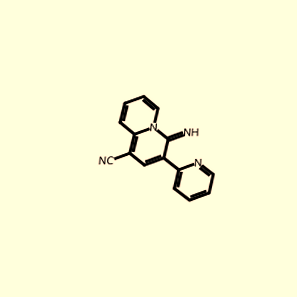 N#Cc1cc(-c2ccccn2)c(=N)n2ccccc12